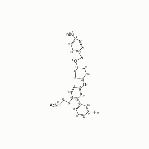 CCCCc1ccc(COC2CCC(Oc3ccc(CCNC(C)=O)c(-c4cccc(F)c4)c3)CC2)cc1